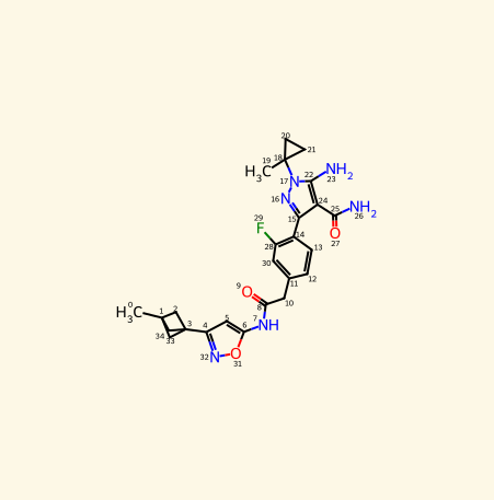 CC12CC(c3cc(NC(=O)Cc4ccc(-c5nn(C6(C)CC6)c(N)c5C(N)=O)c(F)c4)on3)(C1)C2